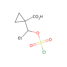 CCC(OS(=O)(=O)Cl)C1(C(=O)O)CC1